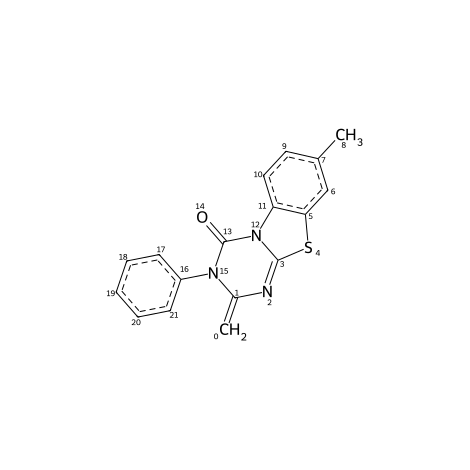 C=C1N=C2Sc3cc(C)ccc3N2C(=O)N1c1ccccc1